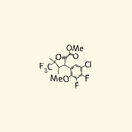 COC(=O)[C@@H]1OC(C)(C(F)(F)F)C(C)C1c1cc(Cl)c(F)c(F)c1OC